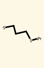 CC(C)SCCC[S]